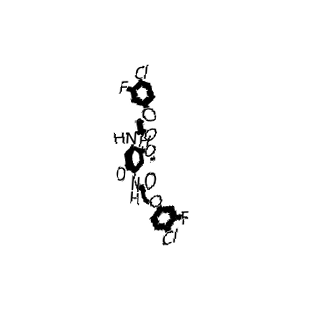 CO[C@H]1C[C@]2(NC(=O)COc3ccc(Cl)c(F)c3)CC[C@@]1(NC(=O)COc1ccc(Cl)c(F)c1)CC2=O